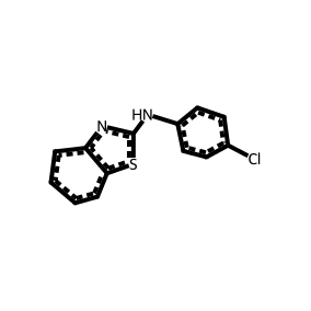 Clc1ccc(Nc2nc3ccccc3s2)cc1